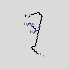 CCCCC/C=C\C/C=C\CCCCCCCCC(CCCCCCCC/C=C\C/C=C\CCCCC)N(C)CCCCNC